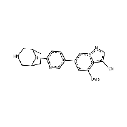 COc1cc(-c2ccc(N3C4CCC3CNC4)nc2)cn2ncc(C#N)c12